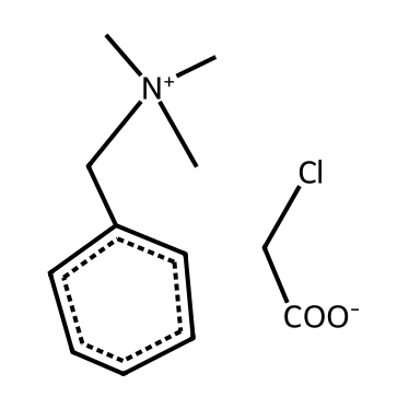 C[N+](C)(C)Cc1ccccc1.O=C([O-])CCl